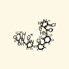 COc1nc(-c2cccc(-c3cccc(NC(=O)c4c(Cl)cn[nH]c4=O)c3C)c2Cl)ccc1CN[C@@H]1CCOC[C@@H]1O